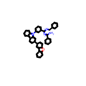 N/C(=N\C(=N/Cc1ccccc1)c1cccc(-n2c3ccccc3c3ccc(-c4ccc5oc6ccccc6c5c4)cc32)c1)c1ccccc1